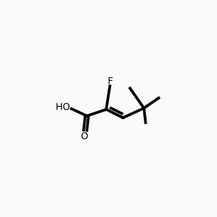 CC(C)(C)C=C(F)C(=O)O